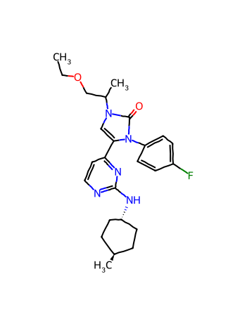 CCOCC(C)n1cc(-c2ccnc(N[C@H]3CC[C@H](C)CC3)n2)n(-c2ccc(F)cc2)c1=O